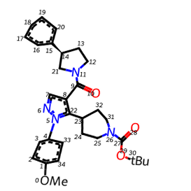 COc1ccc(-n2ncc(C(=O)N3CC[C@H](c4ccccc4)C3)c2C2CCN(C(=O)OC(C)(C)C)CC2)cc1